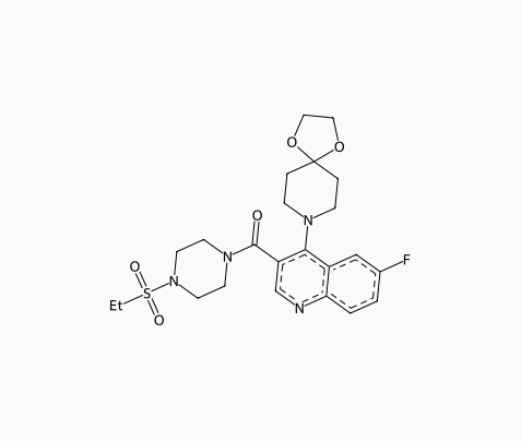 CCS(=O)(=O)N1CCN(C(=O)c2cnc3ccc(F)cc3c2N2CCC3(CC2)OCCO3)CC1